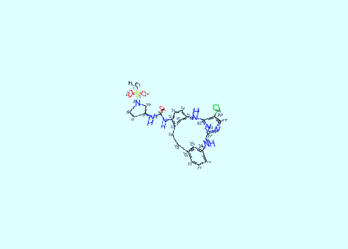 CS(=O)(=O)N1CC[C@H](NC(=O)Nc2ccc3cc2CCc2cccc(c2)Nc2ncc(Cl)c(n2)N3)C1